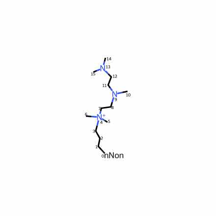 CCCCCCCCCCCC[N+](C)(C)CCN(C)CCN(C)C